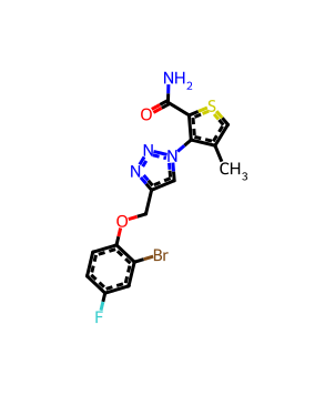 Cc1csc(C(N)=O)c1-n1cc(COc2ccc(F)cc2Br)nn1